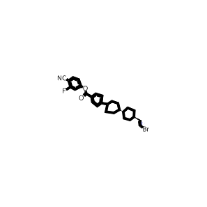 N#Cc1ccc(OC(=O)c2ccc(C3CCC([C@H]4CC[C@H](/C=C/Br)CC4)CC3)cc2)cc1F